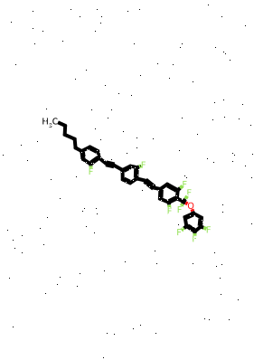 CCCCCc1ccc(C#Cc2ccc(C#Cc3cc(F)c(C(F)(F)Oc4cc(F)c(F)c(F)c4)c(F)c3)c(F)c2)c(F)c1